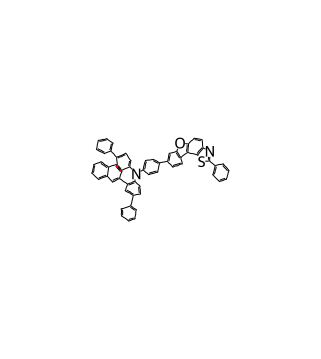 c1ccc(-c2ccc(N(c3ccc(-c4ccc5c(c4)oc4ccc6nc(-c7ccccc7)sc6c45)cc3)c3ccc(-c4ccccc4)cc3-c3ccc4ccccc4c3)cc2)cc1